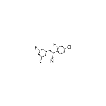 N#CC(=Cc1cc(F)cc(Cl)c1)c1ccc(Cl)cc1F